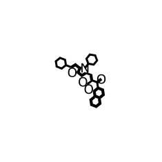 O=C1Oc2c(ccc3ccccc23)C(=O)/C1=C/c1cc2oc(C3CCCCC3)cc2n1C1CCCCC1